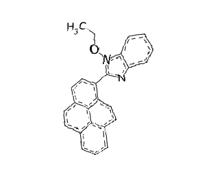 CCOn1c(-c2ccc3ccc4cccc5ccc2c3c45)nc2ccccc21